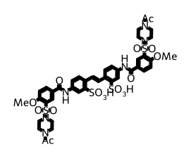 COc1ccc(C(=O)Nc2ccc(C=Cc3ccc(NC(=O)c4ccc(OC)c(S(=O)(=O)N5CCN(C(C)=O)CC5)c4)cc3S(=O)(=O)O)c(S(=O)(=O)O)c2)cc1S(=O)(=O)N1CCN(C(C)=O)CC1